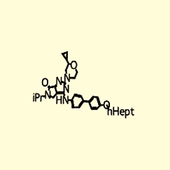 CCCCCCCOc1ccc(-c2ccc(Nc3nc(N4CCOC(C5CC5)C4)nc4c3CN(C(C)C)C4=O)cc2)cc1